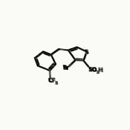 O=S(=O)(O)c1scc(Cc2cccc(C(F)(F)F)c2)c1Br